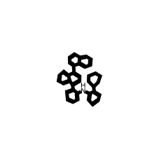 c1ccc(-c2ccc(-c3cccc4ccccc34)c3ccccc23)c(Nc2ccccc2C2CCCCC2)c1